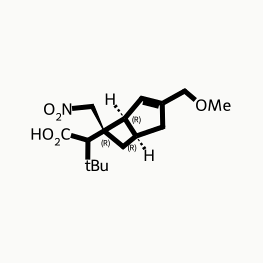 COCC1=C[C@H]2[C@@H](C1)C[C@]2(C[N+](=O)[O-])C(C(=O)O)C(C)(C)C